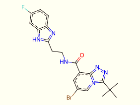 CC(C)(C)c1nnc2c(C(=O)NCCc3nc4ccc(F)cc4[nH]3)cc(Br)cn12